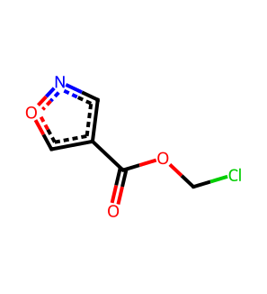 O=C(OCCl)c1cnoc1